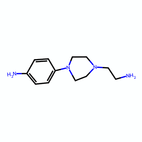 NCCN1CCN(c2ccc(N)cc2)CC1